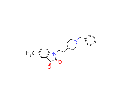 Cc1ccc2c(c1)C(=O)C(=O)N2CCC1CCN(Cc2ccccc2)CC1